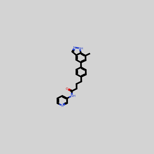 Cc1cc(-c2ccc(CCCC(=O)Nc3cccnc3)cc2)cc2cn[nH]c12